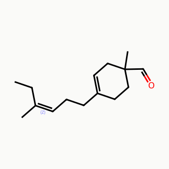 CC/C(C)=C\CCC1=CCC(C)(C=O)CC1